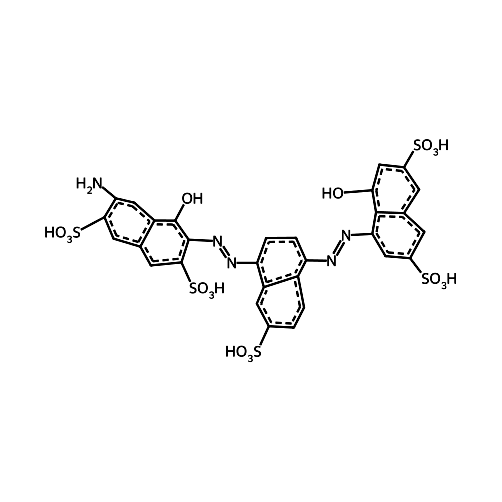 Nc1cc2c(O)c(N=Nc3ccc(N=Nc4cc(S(=O)(=O)O)cc5cc(S(=O)(=O)O)cc(O)c45)c4ccc(S(=O)(=O)O)cc34)c(S(=O)(=O)O)cc2cc1S(=O)(=O)O